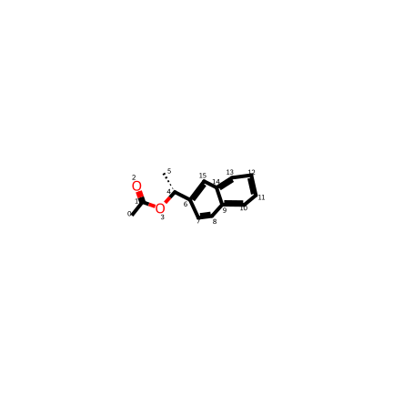 CC(=O)O[C@H](C)c1ccc2ccccc2c1